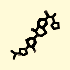 CN(C(=O)c1ccc2c(c1)CCN(c1ccc(N3CC[C@@H](N(C)C)C3)c(F)c1)C2=O)C1CCCC1